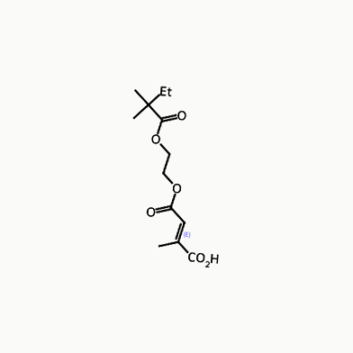 CCC(C)(C)C(=O)OCCOC(=O)/C=C(\C)C(=O)O